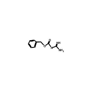 N=C(N)[N]C(=O)OCc1ccccc1